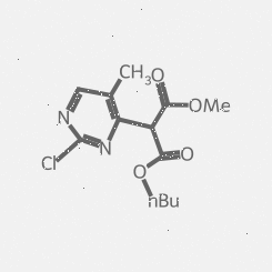 CCCCOC(=O)C(C(=O)OC)c1nc(Cl)ncc1C